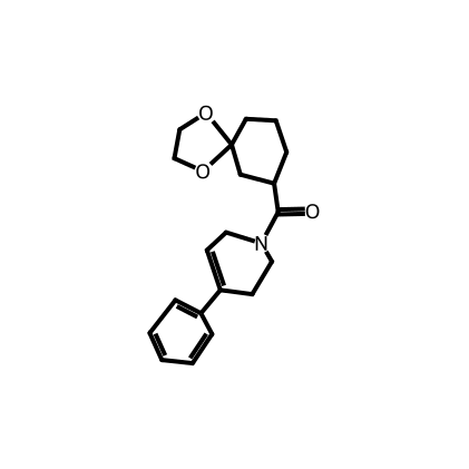 O=C(C1CCCC2(C1)OCCO2)N1CC=C(c2ccccc2)CC1